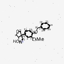 COc1cc(C2(/C=N\O)CCOC2)ccc1OCc1ccccc1